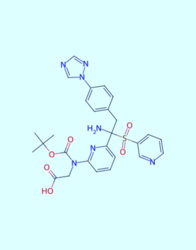 CC(C)(C)OC(=O)N(CC(=O)O)c1cccc(C(N)(Cc2ccc(-n3cncn3)cc2)S(=O)(=O)c2cccnc2)n1